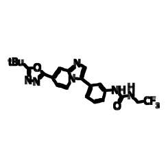 CC(C)(C)c1nnc(-c2ccn3c(-c4cccc(NC(=O)NCC(F)(F)F)c4)cnc3c2)o1